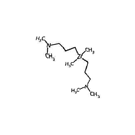 CN(C)CC[CH2][Zr]([CH3])([CH3])[CH2]CCN(C)C